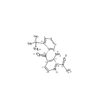 [2H]C([2H])([2H])c1ccccc1C(=O)c1ccnc(C(N)=O)c1N